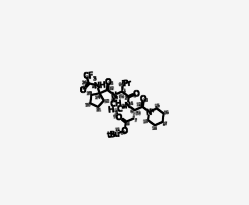 CC(C)[C@@H](C(=O)N(C)[C@@H](CC(=O)OC(C)(C)C)C(=O)N1CCCCC1)N(C)C(=O)C1(NC(=O)C(F)(F)F)CCCC1